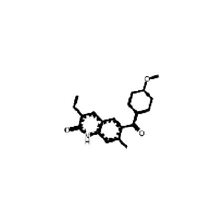 CCc1cc2cc(C(=O)C3CCC(OC)CC3)c(C)cc2[nH]c1=O